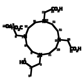 CC(O)CN1CCN(CC(=O)O)CCN(CC(=O)O)CCN(CC(=O)O)CC1.[Gd]